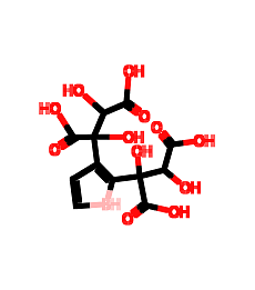 O=C(O)C(O)C(O)(C(=O)O)C1=C(C(O)(C(=O)O)C(O)C(=O)O)C=CB1